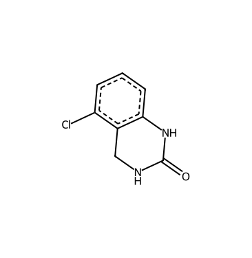 O=C1NCc2c(Cl)cccc2N1